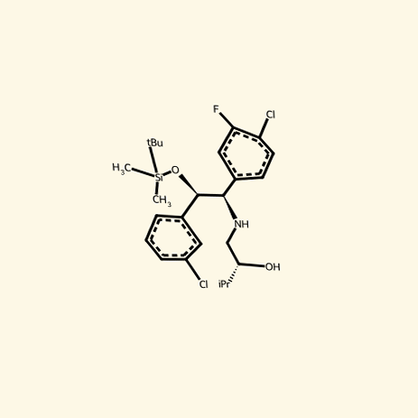 CC(C)[C@@H](O)CN[C@H](c1ccc(Cl)c(F)c1)[C@H](O[Si](C)(C)C(C)(C)C)c1cccc(Cl)c1